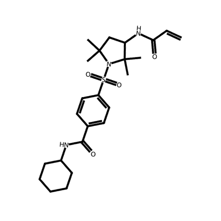 C=CC(=O)NC1CC(C)(C)N(S(=O)(=O)c2ccc(C(=O)NC3CCCCC3)cc2)C1(C)C